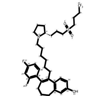 O=S(=O)(CCC[C@H]1CCCN1CCCCCCC1=C(c2ccc(F)cc2F)CCCc2cc(O)ccc21)CCCC(F)(F)F